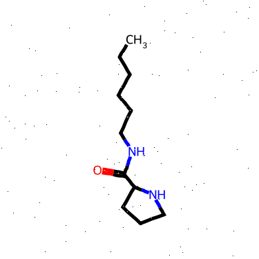 CCCCCCNC(=O)C1CCCN1